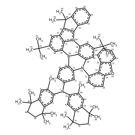 Cc1cc2c(cc1N(c1ccc3c(c1)N(c1cccc4oc5ccccc5c14)c1cc(C(C)(C)C)cc4c1B3c1cc(C(C)(C)C)cc3c5c(n-4c13)-c1ccccc1C5(C)C)c1cc3c(cc1C)C(C)(C)CCC3(C)C)C(C)(C)CCC2(C)C